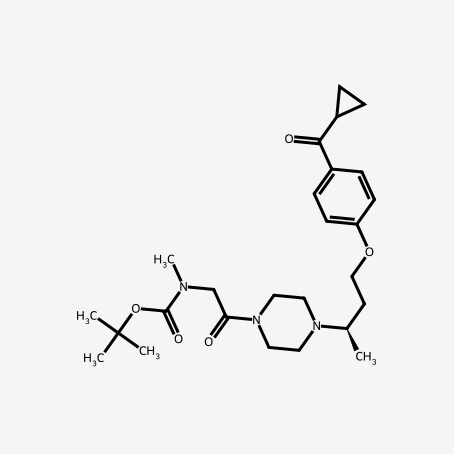 C[C@H](CCOc1ccc(C(=O)C2CC2)cc1)N1CCN(C(=O)CN(C)C(=O)OC(C)(C)C)CC1